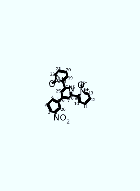 O=[N+]([O-])c1cccc(-c2cc(-c3cccc[n+]3[O-])nc(-c3cccc[n+]3[O-])c2)c1